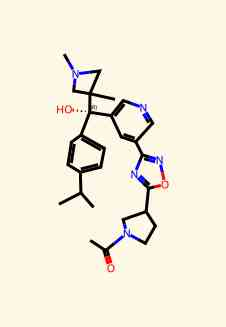 CC(=O)N1CCC(c2nc(-c3cncc([C@@](O)(c4ccc(C(C)C)cc4)C4(C)CN(C)C4)c3)no2)C1